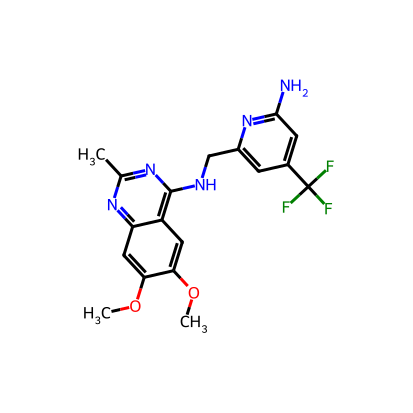 COc1cc2nc(C)nc(NCc3cc(C(F)(F)F)cc(N)n3)c2cc1OC